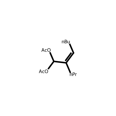 CCCCC=C(CCC)C(OC(C)=O)OC(C)=O